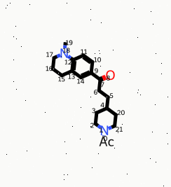 CC(=O)N1CCC(CCC(=O)c2ccc3c(c2)CCCN3C)CC1